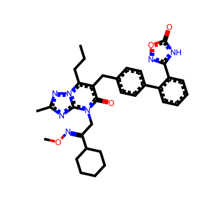 CCCc1c(Cc2ccc(-c3ccccc3-c3noc(=O)[nH]3)cc2)c(=O)n(CC(=NOC)C2CCCCC2)c2nc(C)nn12